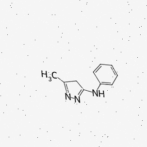 CC1=NN=C(Nc2ccccc2)C1